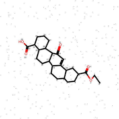 CCOC(=O)C1CCC2CCC3C(=CC(=O)C4C3CCC3C(C(=O)O)CCCC34)C2C1